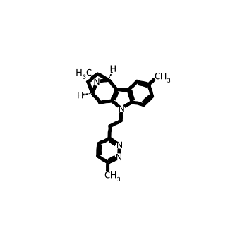 Cc1ccc2c(c1)c1c(n2CCc2ccc(C)nn2)C[C@H]2CC[C@@H]1N2C